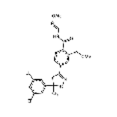 COCc1cc(C2=NOC(c3cc(Cl)cc(Cl)c3)(C(F)(F)F)C2)ccc1C(=O)NC=NOC